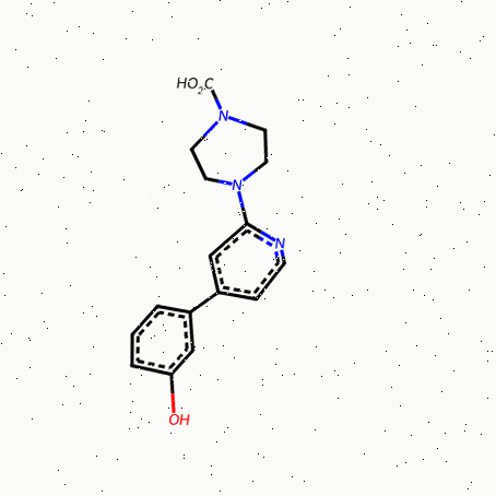 O=C(O)N1CCN(c2cc(-c3cccc(O)c3)ccn2)CC1